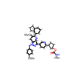 COc1ccc(Cn2nc(-c3ccc(C4CCC(OC(=O)NC(C)(C)C)C4)nc3)c3nc(-c4cccc5c4CCC5)c(OC)cc32)cc1